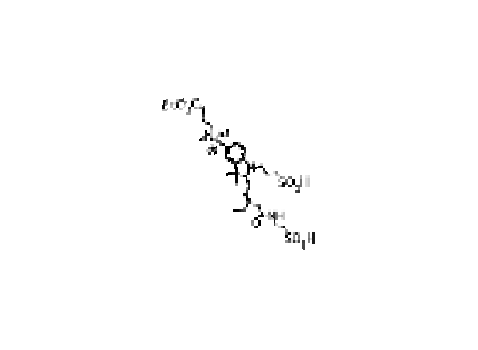 C=C/C(=C/C=C1/N(CCCS(=O)(=O)O)c2ccc(S(=O)(=O)N(C)CCCC(=O)OCC)cc2C1(C)C)CC(=O)NCCS(=O)(=O)O